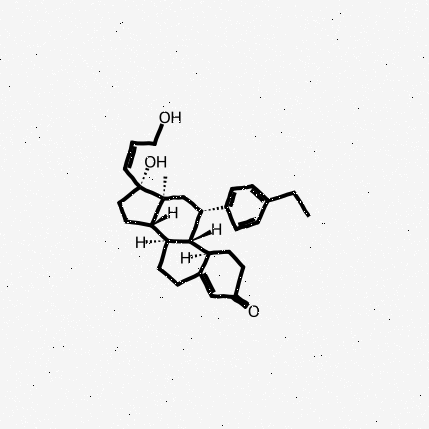 CCc1ccc([C@H]2C[C@@]3(C)[C@@H](CC[C@@]3(O)/C=C\CO)[C@@H]3CCC4=CC(=O)CC[C@@H]4[C@H]32)cc1